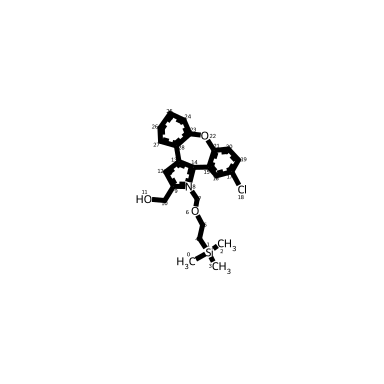 C[Si](C)(C)CCOCn1c(CO)cc2c1-c1cc(Cl)ccc1Oc1ccccc1-2